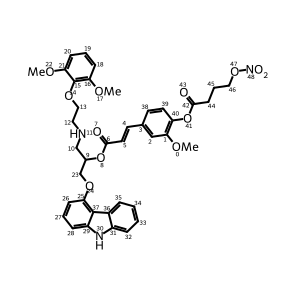 COc1cc(/C=C/C(=O)OC(CNCCOc2c(OC)cccc2OC)COc2cccc3[nH]c4ccccc4c23)ccc1OC(=O)CCCO[N+](=O)[O-]